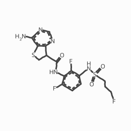 Nc1ncnc2c1SCC2C(=O)Nc1c(F)ccc(NS(=O)(=O)CCCF)c1F